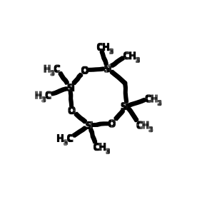 C[Si]1(C)C[Si](C)(C)O[Si](C)(C)O[Si](C)(C)O1